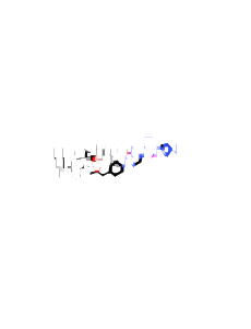 CCC(Cc1ccc(-n2ccc(NC(=O)n3ccnc3)nc2=O)cc1)O[Si](C)(C)C(C)(C)C